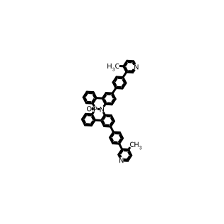 Cc1ccncc1-c1ccc(-c2ccc3c(c2)-c2ccccc2P2(=O)c4ccccc4-c4cc(-c5ccc(-c6cnccc6C)cc5)ccc4N32)cc1